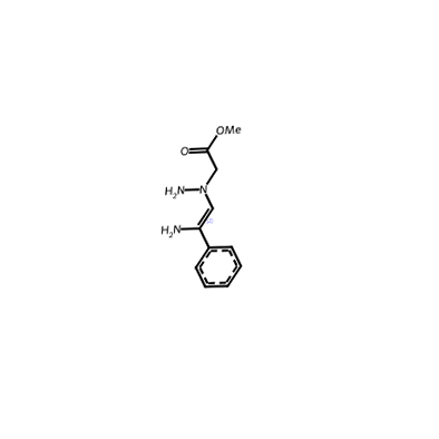 COC(=O)CN(N)/C=C(\N)c1ccccc1